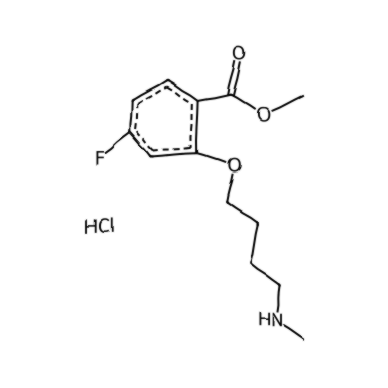 CNCCCCOc1cc(F)ccc1C(=O)OC.Cl